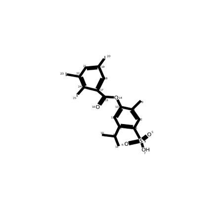 Cc1cc(S(=O)(=O)O)c(C(C)C)cc1OC(=O)c1cc(I)cc(I)c1I